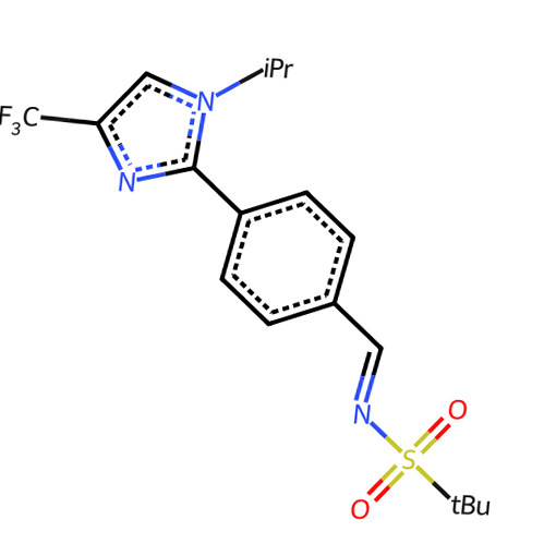 CC(C)n1cc(C(F)(F)F)nc1-c1ccc(C=NS(=O)(=O)C(C)(C)C)cc1